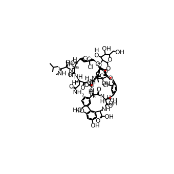 CN[C@H](CC(C)C)C(=O)N[C@H]1C(=O)N[C@@H](CC(N)=O)C(=O)N[C@H]2C(=O)N[C@H]3C(=O)N[C@H](C(=O)NC(C(=O)O)c4cc(O)cc(O)c4-c4cc3ccc4O)[C@H](O)c3ccc(c(Cl)c3)Oc3cc2cc(c3OC2OC(CO)C(O)C(O)C2OC2CC(C)(N)C(O)C(C)O2)Oc2ccc(cc2Cl)[C@H]1O